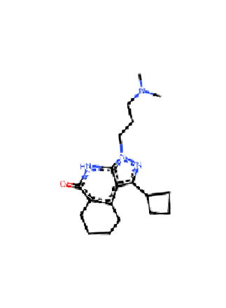 CN(C)CCCn1nc(C2CCC2)c2c3c(c(=O)[nH]c21)CCCC3